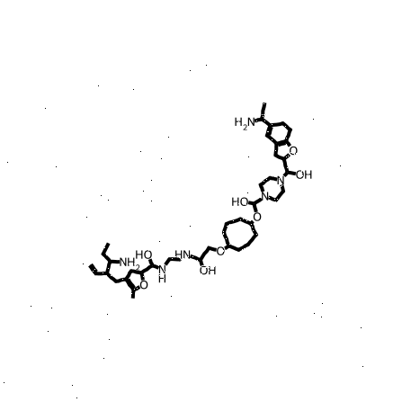 C=CC(CC1=C(C)OC(C(O)NCCNC(O)COC2CCCC(OC(O)N3CCN(C(O)C4CC5=C(CCC(C(C)N)=C5)O4)CC3)CCC2)C1)C(N)CC